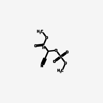 CO[PH](=O)C(C#N)OS(=O)(=O)OC